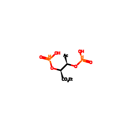 CCOC(=O)[C@H](O[PH](=O)O)[C@@H](O[PH](=O)O)C(C)=O